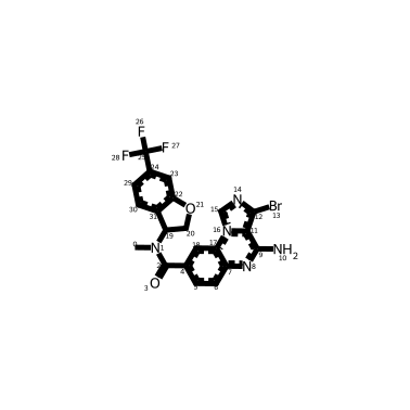 CN(C(=O)c1ccc2nc(N)c3c(Br)ncn3c2c1)C1COc2cc(C(F)(F)F)ccc21